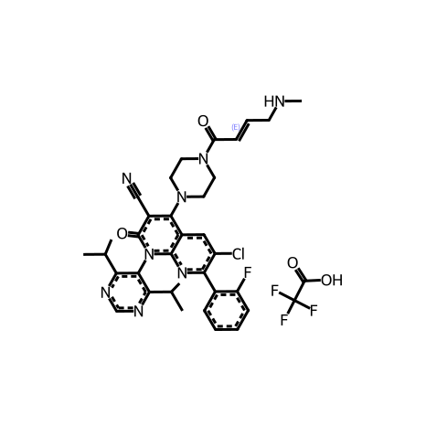 CNC/C=C/C(=O)N1CCN(c2c(C#N)c(=O)n(-c3c(C(C)C)ncnc3C(C)C)c3nc(-c4ccccc4F)c(Cl)cc23)CC1.O=C(O)C(F)(F)F